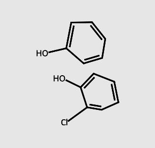 Oc1ccccc1.Oc1ccccc1Cl